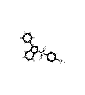 Cc1ccc(S(=O)(=O)n2cc(-c3ccncc3)c3cncnc32)cc1